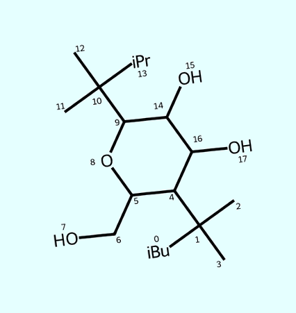 CCC(C)C(C)(C)C1C(CO)OC(C(C)(C)C(C)C)C(O)C1O